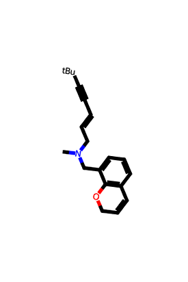 CN(CC=CC#CC(C)(C)C)Cc1cccc2c1OCC=C2